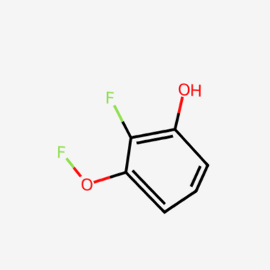 Oc1cccc(OF)c1F